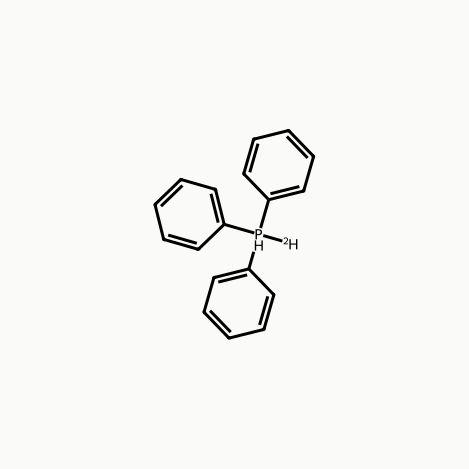 [2H][PH](c1ccccc1)(c1ccccc1)c1ccccc1